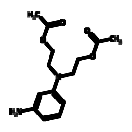 CC(=O)OCCN(CCOC(C)=O)c1cccc(N)c1